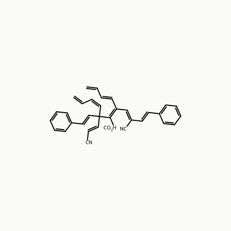 C=CC=CC(C=C(C#N)C=Cc1ccccc1)=C(C(=O)O)C(C=CC#N)(C=CC=C)C=Cc1ccccc1